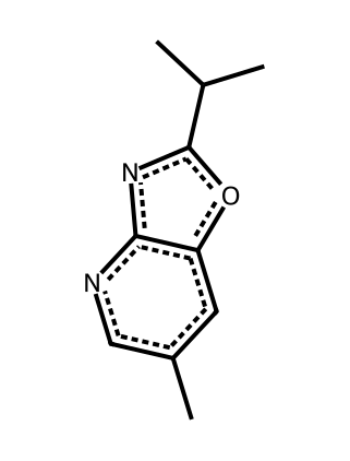 Cc1cnc2nc(C(C)C)oc2c1